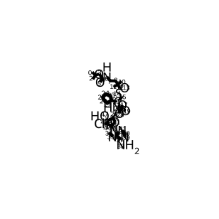 CC(C)OC(=O)NCCC(C)(C)C(=O)SCCOP(=O)(NCc1ccccc1)OC[C@H]1O[C@@H](n2cnc3c(N)ncnc32)[C@](C)(Cl)[C@@H]1O